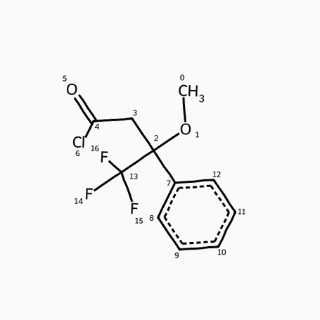 COC(CC(=O)Cl)(c1ccccc1)C(F)(F)F